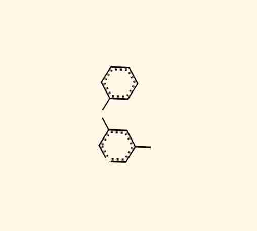 Brc1cncc(Sc2ccccc2)c1